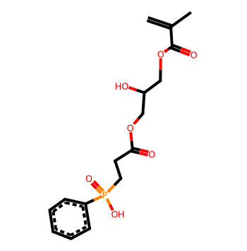 C=C(C)C(=O)OCC(O)COC(=O)CCP(=O)(O)c1ccccc1